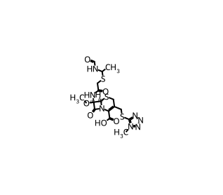 CO[C@@]1(NC(=O)CSC(C)NC=O)C(=O)N2C(C(=O)O)=C(CSc3nnnn3C)CS[C@@H]21